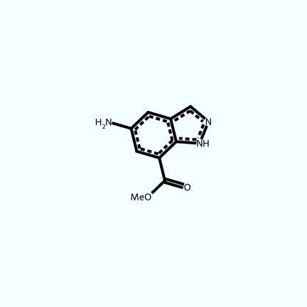 COC(=O)c1cc(N)cc2cn[nH]c12